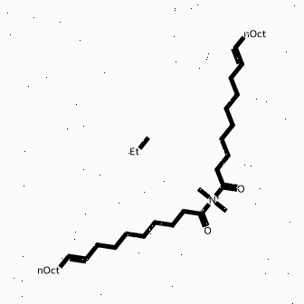 CCC.CCCCCCCCC=CCCCCCCCC(=O)[N+](C)(C)C(=O)CCCCCCCC=CCCCCCCCC